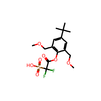 COCc1cc(C(C)(C)C)cc(COC)c1OC(=O)C(F)(F)S(=O)(=O)O